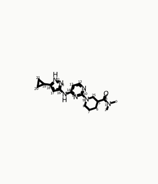 CN(C)C(=O)C1CCCN(c2nccc(Nc3cc(C4CC4)[nH]n3)n2)C1